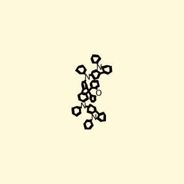 c1ccc(N(c2ccc3c(c2)C2(c4ccccc4Oc4ccccc42)c2cc(N(c4ccccc4)c4ccc5c6ccccc6n(-c6ccccc6)c5c4)ccc2-3)c2ccc3c4ccccc4n(-c4ccccc4)c3c2)cc1